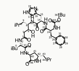 CC[C@H](C)[C@H](NC(=O)C[C@H](O)[C@H](CC(C)C)NC(=O)[C@H](Cc1c[nH]cn1)NC(=O)[C@H](Cc1ccccc1)NC(=O)OC(C)(C)C)C(=O)NC1C[C@H](CC(C)C)NC1=O